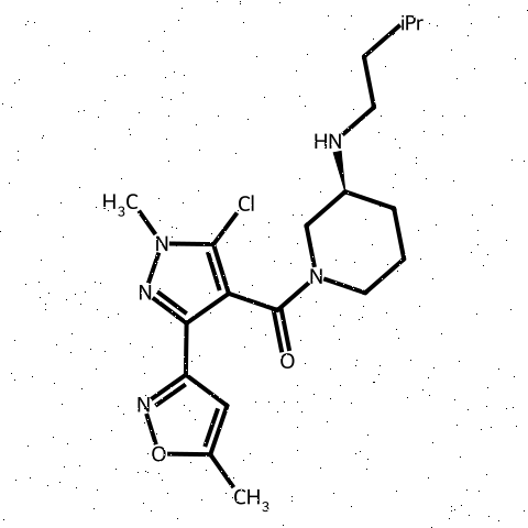 Cc1cc(-c2nn(C)c(Cl)c2C(=O)N2CCC[C@H](NCCC(C)C)C2)no1